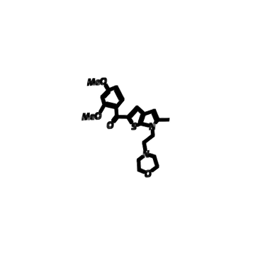 COc1ccc(C(=O)c2cc3cc(C)n(CCN4CCOCC4)c3s2)c(OC)c1